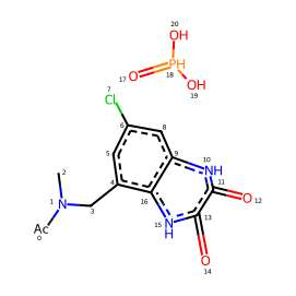 CC(=O)N(C)Cc1cc(Cl)cc2[nH]c(=O)c(=O)[nH]c12.O=[PH](O)O